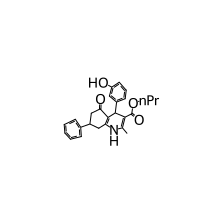 CCCOC(=O)C1=C(C)NC2=C(C(=O)CC(c3ccccc3)C2)C1c1cccc(O)c1